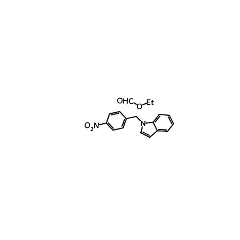 CCOC=O.O=[N+]([O-])c1ccc(Cn2ccc3ccccc32)cc1